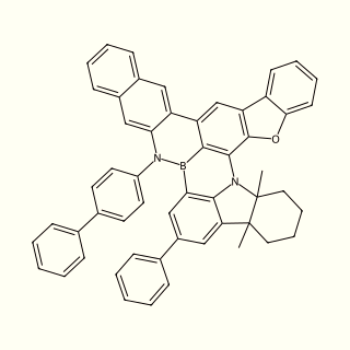 CC12CCCCC1(C)N1c3c(cc(-c4ccccc4)cc32)B2c3c(cc4c(oc5ccccc54)c31)-c1cc3ccccc3cc1N2c1ccc(-c2ccccc2)cc1